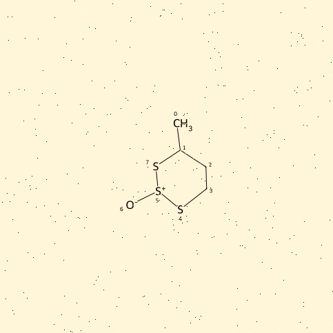 CC1CCS[S+]([O-])S1